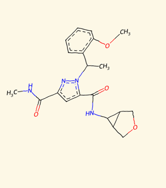 CNC(=O)c1cc(C(=O)NC2C3COCC32)n(C(C)c2ccccc2OC)n1